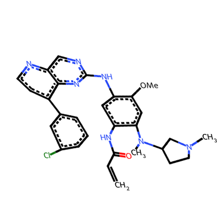 C=CC(=O)Nc1cc(Nc2ncc3nccc(-c4cccc(Cl)c4)c3n2)c(OC)cc1N(C)C1CCN(C)C1